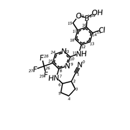 N#CC1CCCC1Nc1nc(Nc2cc(Cl)c3c(c2)COB3O)ncc1C(F)(F)F